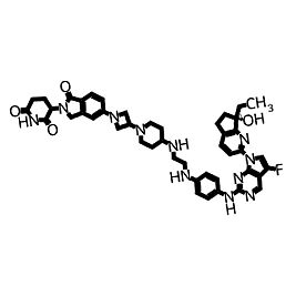 CC[C@@]1(O)CCc2ccc(-n3cc(F)c4cnc(Nc5ccc(NCCNC6CCN(C7CN(c8ccc9c(c8)CN(C8CCC(=O)NC8=O)C9=O)C7)CC6)cc5)nc43)nc21